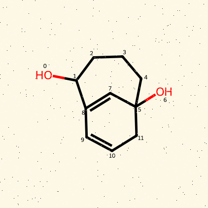 OC1CCCC2(O)C=C1C=CC2